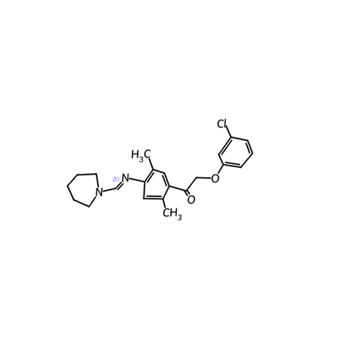 Cc1cc(C(=O)COc2cccc(Cl)c2)c(C)cc1/N=C/N1CCCCC1